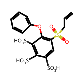 C=CCS(=O)(=O)c1cc(S(=O)(=O)O)c(S(=O)(=O)O)c(S(=O)(=O)O)c1Oc1ccccc1